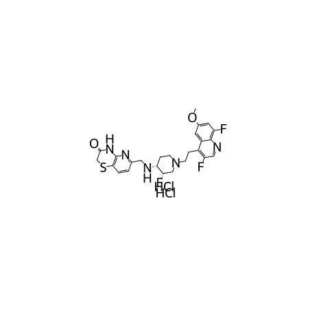 COc1cc(F)c2ncc(F)c(CCN3CC[C@@H](NCc4ccc5c(n4)NC(=O)CS5)[C@@H](F)C3)c2c1.Cl.Cl